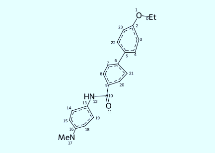 CCOc1ccc(-c2ccc(C(=O)Nc3ccc(NC)cc3)cc2)cc1